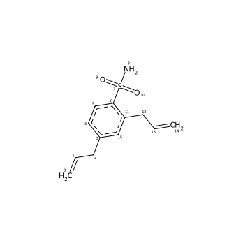 C=CCc1ccc(S(N)(=O)=O)c(CC=C)c1